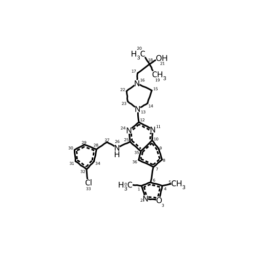 Cc1noc(C)c1-c1ccc2nc(N3CCN(CC(C)(C)O)CC3)nc(NCc3cccc(Cl)c3)c2c1